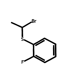 CC(Br)Sc1ccccc1F